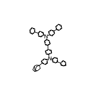 c1ccc(-c2ccc(N(c3ccc(-c4ccccc4)cc3)c3ccc(-c4ccc(N(c5ccc(-c6ccccc6)cc5)c5ccc(C67CC8CC(C6)C(C8)C7)cc5)cc4)cc3)cc2)cc1